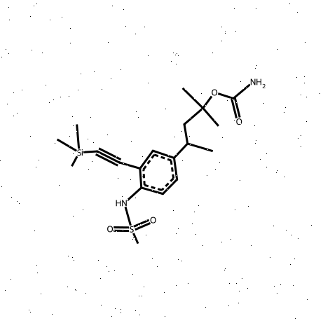 CC(CC(C)(C)OC(N)=O)c1ccc(NS(C)(=O)=O)c(C#C[Si](C)(C)C)c1